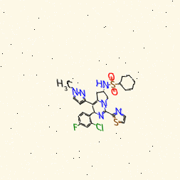 Cn1ccc(C2=C3C[C@H](NS(=O)(=O)C4CCCCC4)CN3C(c3nccs3)=N[C@H]2c2ccc(F)cc2Cl)n1